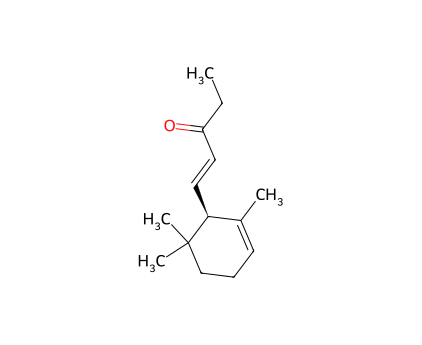 CCC(=O)C=C[C@H]1C(C)=CCCC1(C)C